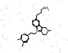 CC1=C=CC(CCn2c3c(c4cc(CCCN)ccc42)CN(C)CC3)=CC=C1C